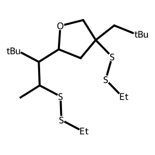 CCSSC(C)C(C1CC(CC(C)(C)C)(SSCC)CO1)C(C)(C)C